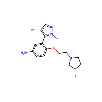 Cn1ncc(Br)c1-c1cc(N)ccc1OCCN1CC[C@H](F)C1